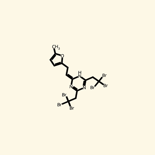 Cc1ccc(CC=C2N=C(CC(Br)(Br)Br)N=C(CC(Br)(Br)Br)N2)o1